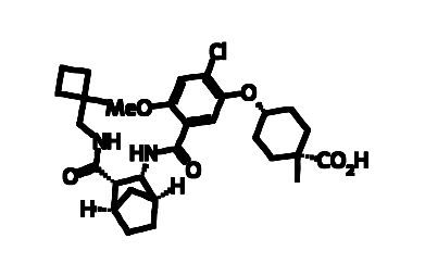 COc1cc(Cl)c(O[C@H]2CC[C@@](C)(C(=O)O)CC2)cc1C(=O)N[C@@H]1[C@H]2CC[C@H](C2)[C@@H]1C(=O)NCC1(C)CCC1